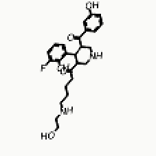 Cc1c(F)cccc1C1C(C(=O)CCCCNCCO)CNCC1C(=O)c1cccc(O)c1